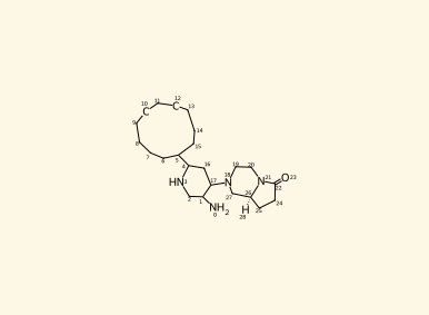 NC1CNC(C2CCCCCCCCCC2)CC1N1CCN2C(=O)CC[C@H]2C1